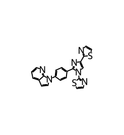 c1cnc2c(c1)ccn2-c1ccc(-c2nc(-c3nccs3)cn2-c2nccs2)cc1